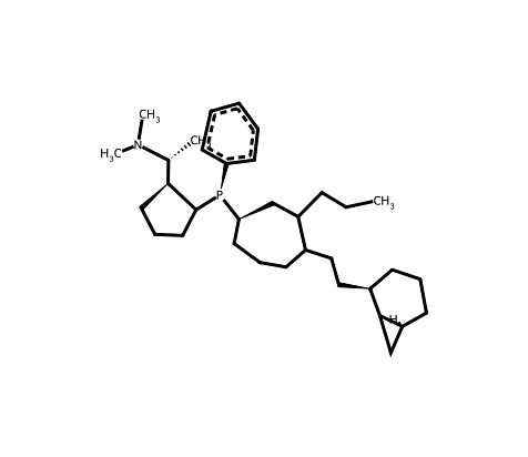 CCCC1C[C@H]([P@](c2ccccc2)C2CCC[C@H]2[C@@H](C)N(C)C)CCCC1CC[C@H]1CCC[C@H]2CC12